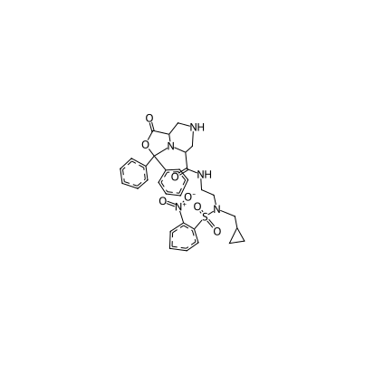 O=C(NCCN(CC1CC1)S(=O)(=O)c1ccccc1[N+](=O)[O-])C1CNCC2C(=O)OC(c3ccccc3)(c3ccccc3)N12